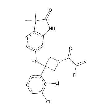 C=C(F)C(=O)N1CC(Nc2ccc3c(c2)NC(=O)C3(C)C)(c2cccc(Cl)c2Cl)C1